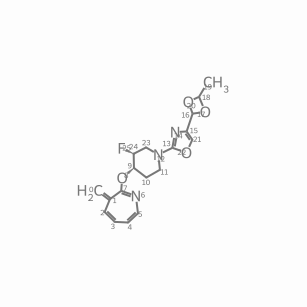 C=C1C=CC=CN=C1O[C@@H]1CCN(c2nc(C3OC(C)O3)co2)C[C@@H]1F